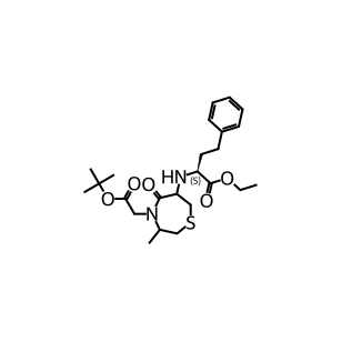 CCOC(=O)[C@H](CCc1ccccc1)NC1CSCC(C)N(CC(=O)OC(C)(C)C)C1=O